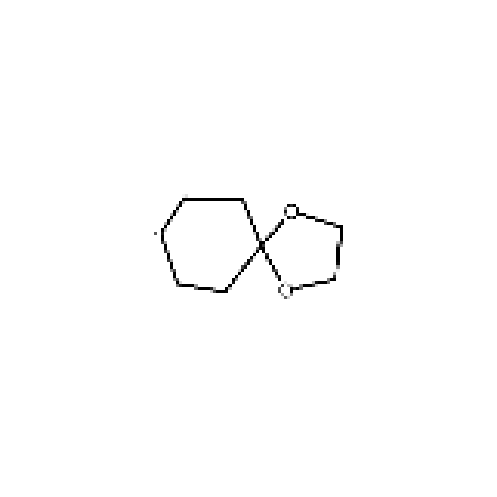 [CH]1CCC2(CC1)OCCO2